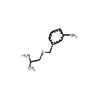 CC(N)COCc1cccc(N)c1